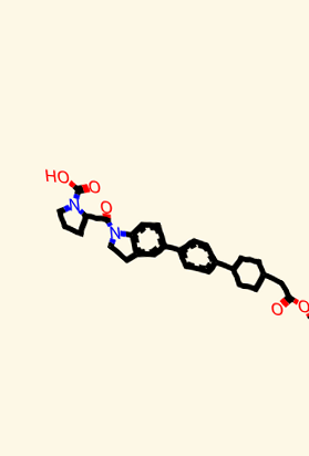 COC(=O)CC1CCC(c2ccc(-c3ccc4c(c3)CCN4C(=O)C3CCCN3C(=O)O)cc2)CC1